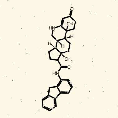 C[C@]12CCC(=O)C=C1NC[C@@H]1[C@H]2CC[C@]2(C)C(C(=O)Nc3cccc4c3Cc3ccccc3-4)CC[C@@H]12